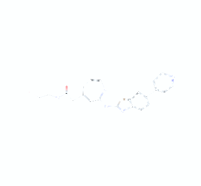 O=C(CC1=CC(Nc2nc3ccc(-c4ccncc4)cc3s2)=NC=CC1)NCCO